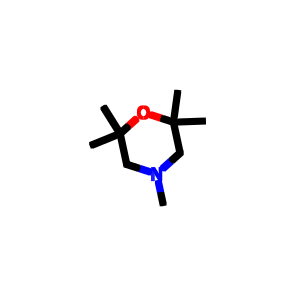 CN1CC(C)(C)OC(C)(C)C1